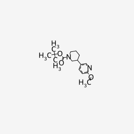 COc1ccc(C2CCCN(C(=O)OC(C)(C)C)C2)cn1